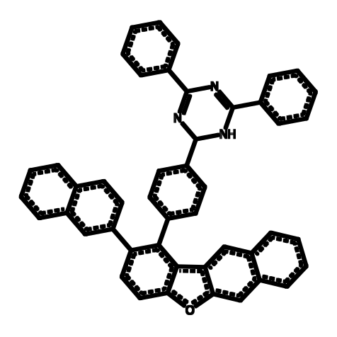 c1ccc(C2=NC(c3ccc(-c4c(-c5ccc6ccccc6c5)ccc5oc6cc7ccccc7cc6c45)cc3)NC(c3ccccc3)=N2)cc1